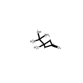 BC(B)(O)C1(C)CC(=O)C1